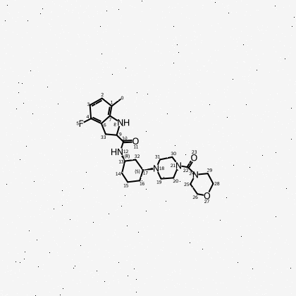 Cc1ccc(F)c2c1NC(C(=O)N[C@@H]1CCC[C@H](N3CCN(C(=O)N4CCOCC4)CC3)C1)C2